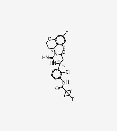 C[C@@]1(c2cccc(NC(=O)C34CC3(F)C4)c2Cl)CC(=O)N([C@H]2CCOc3cc(F)cc(F)c32)C(=N)N1